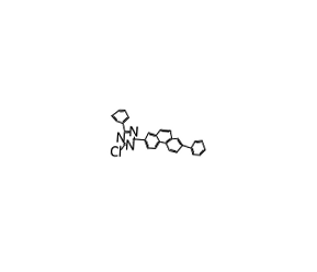 Clc1nc(-c2ccccc2)nc(-c2ccc3c(ccc4cc(-c5ccccc5)ccc43)c2)n1